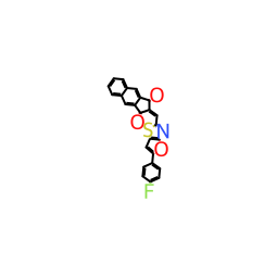 O=C1C(=Cc2nc3oc(-c4ccc(F)cc4)cc3s2)C(=O)c2cc3ccccc3cc21